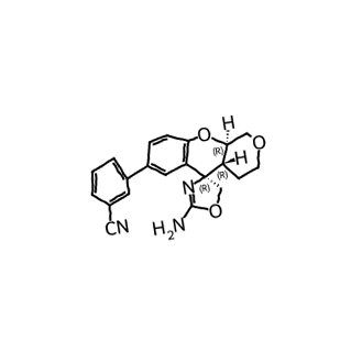 N#Cc1cccc(-c2ccc3c(c2)[C@@]2(COC(N)=N2)[C@H]2CCOC[C@@H]2O3)c1